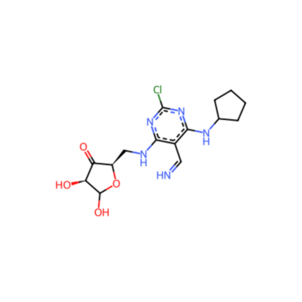 N=Cc1c(NC[C@H]2OC(O)[C@@H](O)C2=O)nc(Cl)nc1NC1CCCC1